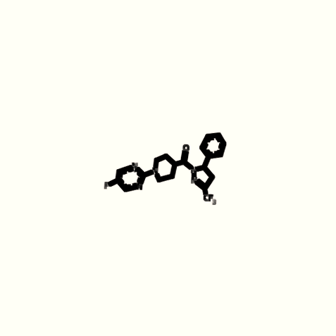 O=C(C1CCN(c2ncc(F)cn2)CC1)N1N=C(C(F)(F)F)CC1c1ccccc1